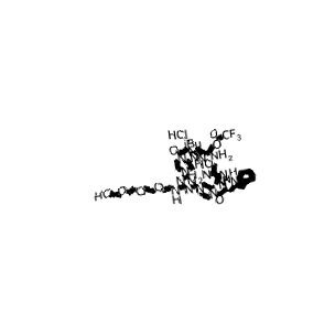 C#CCOCCOCCOCCNc1nc(N2CCN(C(=O)C([C@@H](C)CC)n3cc(C(N)COC(=O)C(F)(F)F)nn3)CC2)nc(N2CCN(C(=O)[C@H](Cc3cc4ccccc4[nH]3)n3cc(C(N)CO)nn3)CC2)n1.Cl